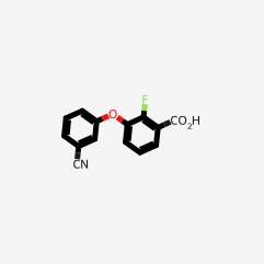 N#Cc1cccc(Oc2cccc(C(=O)O)c2F)c1